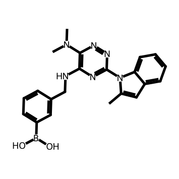 Cc1cc2ccccc2n1-c1nnc(N(C)C)c(NCc2cccc(B(O)O)c2)n1